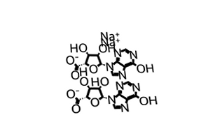 O=C([O-])[C@H]1O[C@@H](n2cnc3c(O)ncnc32)[C@H](O)[C@@H]1O.O=C([O-])[C@H]1O[C@@H](n2cnc3c(O)ncnc32)[C@H](O)[C@@H]1O.[Na+].[Na+]